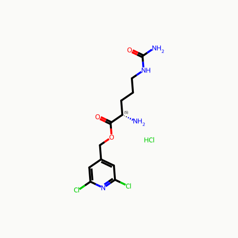 Cl.NC(=O)NCCC[C@H](N)C(=O)OCc1cc(Cl)nc(Cl)c1